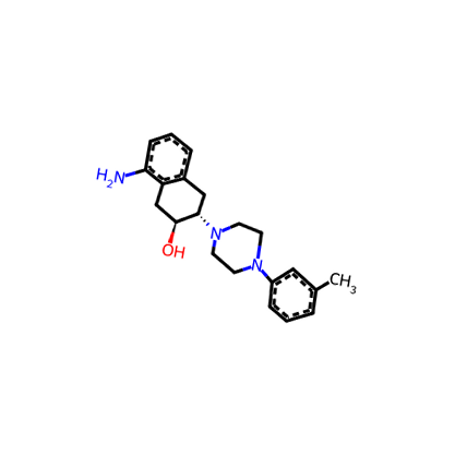 Cc1cccc(N2CCN([C@H]3Cc4cccc(N)c4C[C@@H]3O)CC2)c1